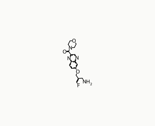 NC/C(=C\F)COc1ccc2nc(C(=O)N3CCOCC3)cnc2c1